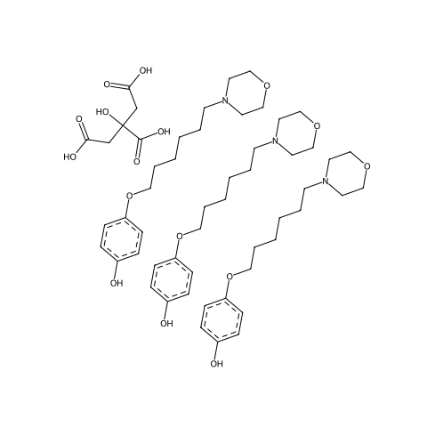 O=C(O)CC(O)(CC(=O)O)C(=O)O.Oc1ccc(OCCCCCCN2CCOCC2)cc1.Oc1ccc(OCCCCCCN2CCOCC2)cc1.Oc1ccc(OCCCCCCN2CCOCC2)cc1